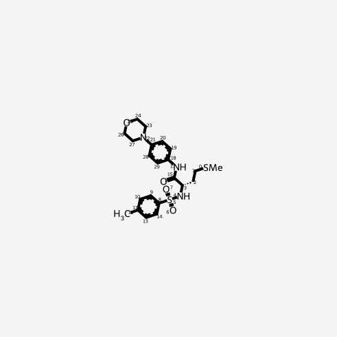 CSCC[C@H](NS(=O)(=O)c1ccc(C)cc1)C(=O)Nc1ccc(N2CCOCC2)cc1